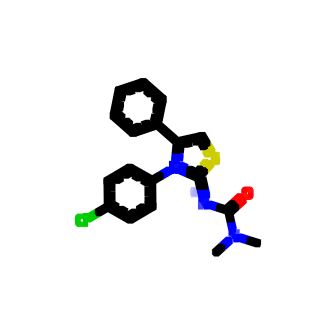 CN(C)C(=O)/N=c1\scc(-c2ccccc2)n1-c1ccc(Cl)cc1